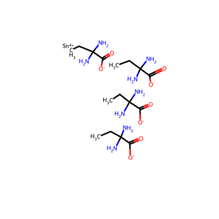 CCC(N)(N)C(=O)[O-].CCC(N)(N)C(=O)[O-].CCC(N)(N)C(=O)[O-].CCC(N)(N)C(=O)[O-].[Sn+4]